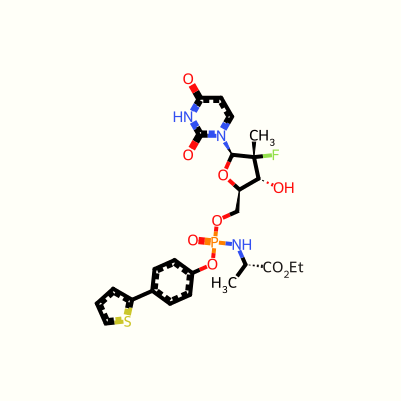 CCOC(=O)[C@H](C)NP(=O)(OC[C@H]1O[C@@H](n2ccc(=O)[nH]c2=O)[C@](C)(F)[C@@H]1O)Oc1ccc(-c2cccs2)cc1